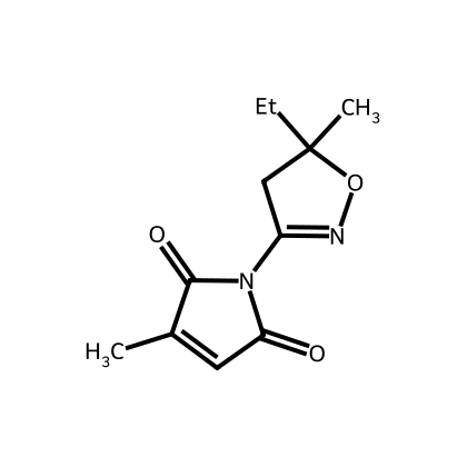 CCC1(C)CC(N2C(=O)C=C(C)C2=O)=NO1